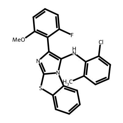 COc1cccc(F)c1-c1nc2sc3ccccc3n2c1Nc1c(C)cccc1Cl